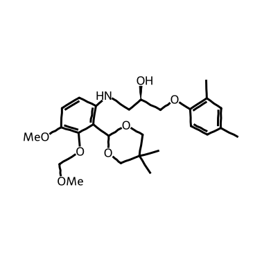 COCOc1c(OC)ccc(NC[C@@H](O)COc2ccc(C)cc2C)c1C1OCC(C)(C)CO1